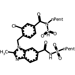 CCCCCN(C(=O)c1ccc(Cn2c(C)nc3ccc(C(=O)NS(=O)(=O)CCCCC)cc32)c(Cl)c1)[SH](=O)=O